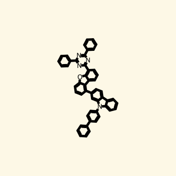 c1ccc(-c2ccc(-n3c4ccccc4c4ccc(-c5cccc6oc7c(-c8nc(-c9ccccc9)nc(-c9ccccc9)n8)cccc7c56)cc43)cc2)cc1